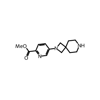 COC(=O)c1ccc(N2CC3(CCNCC3)C2)cn1